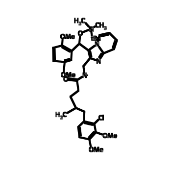 COc1ccc(OC)c(C(O[Si](C)(C)C(C)(C)C)c2c(C[N]C(=O)CCC(C)Cc3ccc(OC)c(OC)c3Cl)nc3ccccn23)c1